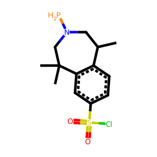 CC1CN(P)CC(C)(C)c2cc(S(=O)(=O)Cl)ccc21